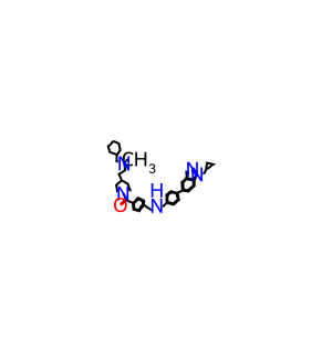 CN(CCC1CCN(C(=O)c2ccc(CNCc3ccc(-c4ccc5c(cnn5CC5CC5)c4)cc3)cc2)CC1)CC1CCCCC1